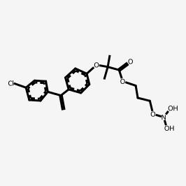 C=C(c1ccc(Cl)cc1)c1ccc(OC(C)(C)C(=O)OCCCON(O)O)cc1